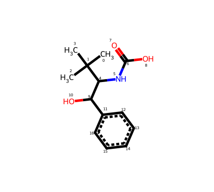 CC(C)(C)C(NC(=O)O)C(O)c1ccccc1